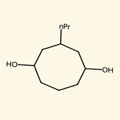 CCCC1CC(O)CCCC(O)C1